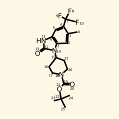 Cc1cc2c(cc1C(F)(F)F)[nH]c(=O)n2C1CCN(C(=O)OC(C)(C)C)CC1